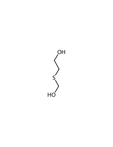 OCCSCO